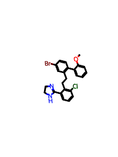 COc1ccccc1-c1ccc(Br)cc1CCc1c(Cl)cccc1C1=NCCN1